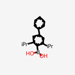 CC(C)c1cc(-c2ccccc2)cc(C(C)C)c1B(O)O